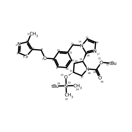 Cc1ncsc1COc1cccc(Cn2ccnc2[C@@H]2C[C@@H](O[Si](C)(C)C(C)(C)C)CN2C(=O)OC(C)(C)C)c1